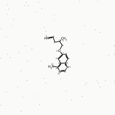 CC(CC=N)COc1ccc2ncnc(N)c2c1